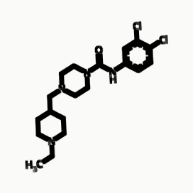 CCN1CCC(CN2CCN(C(=O)Nc3ccc(Cl)c(Cl)c3)CC2)CC1